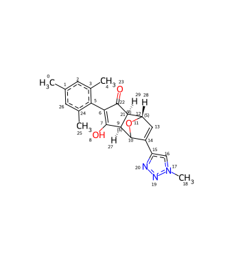 Cc1cc(C)c(C2=C(O)[C@@H]3C4O[C@@H](C=C4c4cn(C)nn4)[C@@H]3C2=O)c(C)c1